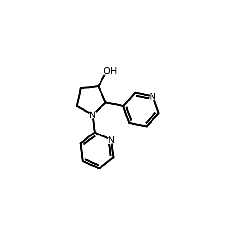 OC1CCN(c2ccccn2)C1c1cccnc1